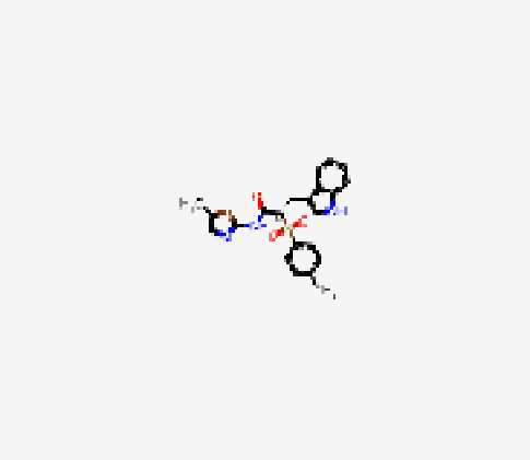 Cc1ccc(S(=O)(=O)[C@@H](Cc2c[nH]c3ccccc23)C(=O)Nc2ncc(C)s2)cc1